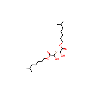 CC(C)CCCCCOC(=O)C(O)SC(O)C(=O)OCCCCCC(C)C